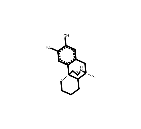 Oc1cc2c(cc1O)[C@]13CCCC[C@@H]1[C@H](C2)NCC3